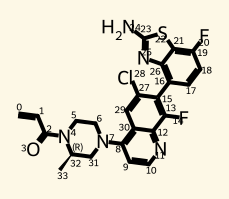 C=CC(=O)N1CCN(c2ccnc3c(F)c(-c4ccc(F)c5sc(N)nc45)c(Cl)cc23)C[C@H]1C